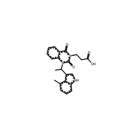 Cc1cccc2[nH]cc(C(C)n3c(=O)n(CCC(=O)O)c(=O)c4ccccc43)c12